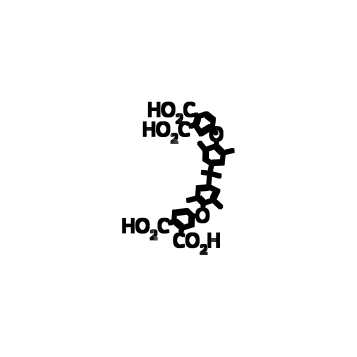 Cc1cc(C(C)(C)c2cc(C)c(Oc3ccc(C(=O)O)c(C(=O)O)c3)c(C)c2)cc(C)c1Oc1ccc(C(=O)O)c(C(=O)O)c1